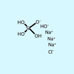 [Cl-].[Na+].[Na+].[Na+].[O-][Si](O)(O)O.[OH-]